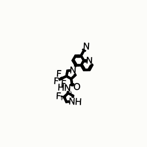 N#Cc1ccc(N2CC(C(=O)N[C@H]3CNC[C@H]3F)C(C(F)(F)F)C2)c2cccnc12